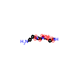 CNS(=O)(=O)c1cccc(OC[C@@H](O)CN(C(=O)O)C2COC3(CCN(S(=O)(=O)c4cccc(-c5ccc(CN)cc5)c4)CC3)C2)c1